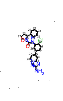 Nc1nc2cc(-c3ccc(Cl)c(NC(=O)N4OCC[C@H]4c4ccccc4)c3)ccn2n1